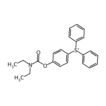 CCN(CC)C(=O)Oc1ccc([S+](c2ccccc2)c2ccccc2)cc1